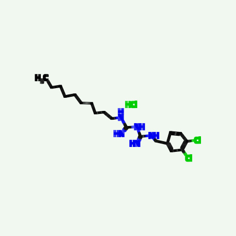 CCCCCCCCCCNC(=N)NC(=N)NCc1ccc(Cl)c(Cl)c1.Cl